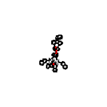 c1cc(-c2ccc(-c3ccc(-c4nc(-c5ccc6ccccc6c5)nc(-c5ccc6ccccc6c5)n4)cc3)cc2)c2c(c1)C1(c3cccc(-c4ccc(-c5ccc(-c6nc(-c7ccc8ccccc8c7)nc(-c7ccc8ccccc8c7)n6)cc5)cc4)c3-2)C2CC3CC(C2)CC1C3